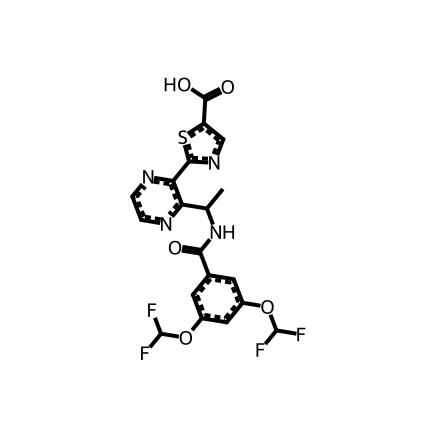 CC(NC(=O)c1cc(OC(F)F)cc(OC(F)F)c1)c1nccnc1-c1ncc(C(=O)O)s1